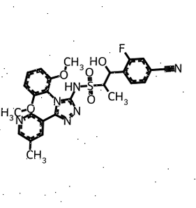 COc1cccc(OC)c1-n1c(NS(=O)(=O)C(C)C(O)c2ccc(C#N)cc2F)nnc1-c1cncc(C)c1